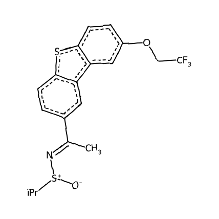 C/C(=N\[S+]([O-])C(C)C)c1ccc2sc3ccc(OCC(F)(F)F)cc3c2c1